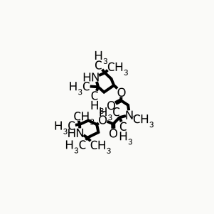 CN(CC(=O)OC1CC(C)(C)NC(C)(C)C1)C(C)(C)C(=O)OC1CC(C)(C)NC(C)(C)C1